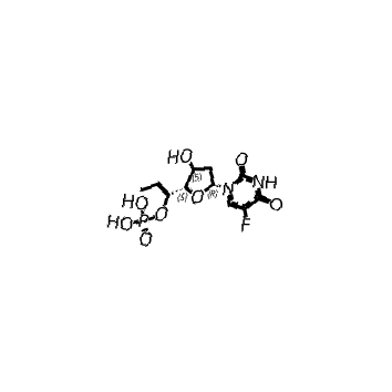 CCC(OP(=O)(O)O)[C@H]1O[C@@H](n2cc(F)c(=O)[nH]c2=O)C[C@@H]1O